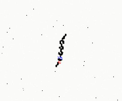 CCCCC[C@H]1CC[C@H]([C@H]2CC[C@H]([C@H]3CC[C@H](c4ncc(OCCCC)cn4)CC3)CC2)CC1